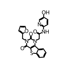 O=C(Cn1c(=O)n(Cc2ccco2)c(=O)c2sc3ccccc3c21)Nc1ccc(O)cn1